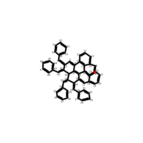 C(=C1C=c2c3c(c4cccc5cccc2c54)C(=Cc2ccccc2)C(=Cc2ccccc2)C(=Cc2ccccc2)C3C1=Cc1ccccc1)c1ccccc1